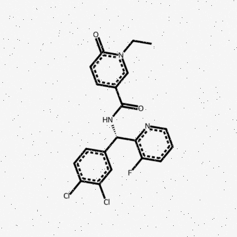 CCn1cc(C(=O)N[C@@H](c2ccc(Cl)c(Cl)c2)c2ncccc2F)ccc1=O